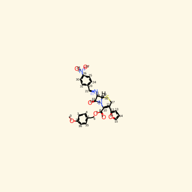 COc1ccc(COC(=O)C2=C(c3ccco3)CS[C@@H]3[C@H](/N=C/c4ccc([N+](=O)[O-])cc4)C(=O)N23)cc1